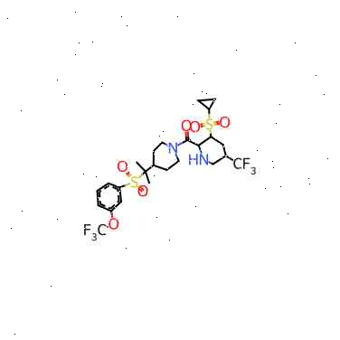 CC(C)(C1CCN(C(=O)C2NCC(C(F)(F)F)CC2S(=O)(=O)C2CC2)CC1)S(=O)(=O)c1cccc(OC(F)(F)F)c1